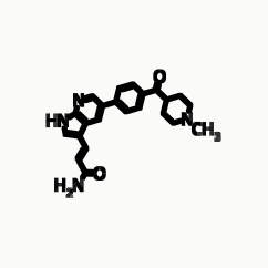 CN1CCC(C(=O)c2ccc(-c3cnc4[nH]cc(C=CC(N)=O)c4c3)cc2)CC1